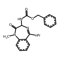 CCCC1=NC(NC(=O)OCc2ccccc2)C(=O)N(C)c2ccccc21